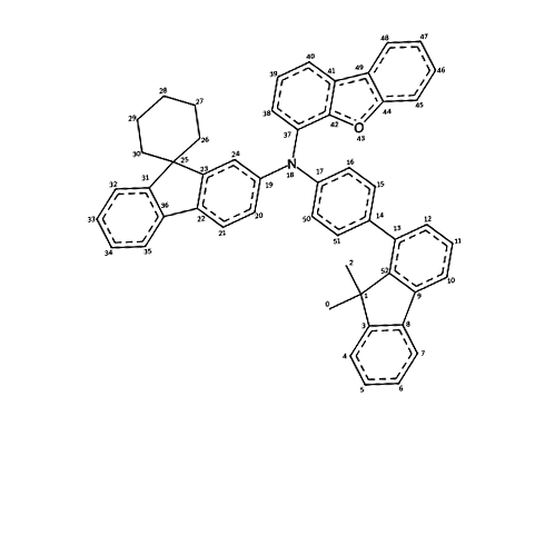 CC1(C)c2ccccc2-c2cccc(-c3ccc(N(c4ccc5c(c4)C4(CCCCC4)c4ccccc4-5)c4cccc5c4oc4ccccc45)cc3)c21